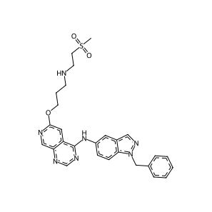 CS(=O)(=O)CCNCCCOc1cc2c(Nc3ccc4c(cnn4Cc4ccccc4)c3)ncnc2cn1